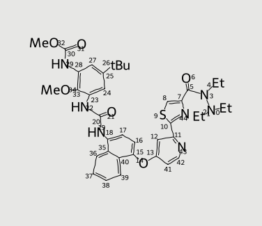 CCN(CC)N(CC)C(=O)c1csc(-c2cc(Oc3ccc(NC(=O)Nc4cc(C(C)(C)C)cc(NC(=O)OC)c4OC)c4ccccc34)ccn2)n1